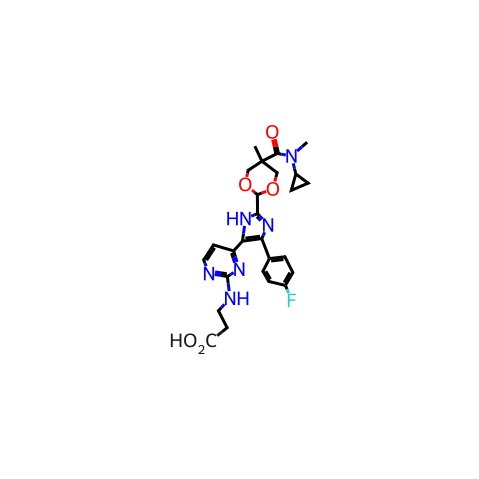 CN(C(=O)C1(C)COC(c2nc(-c3ccc(F)cc3)c(-c3ccnc(NCCC(=O)O)n3)[nH]2)OC1)C1CC1